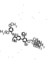 COc1ccc(CNc2cnnc3cc(-c4cc(Br)c(OCC(C)O[Si](C)(C)C(C)(C)C)cc4-n4cccn4)ccc23)c(OC)c1